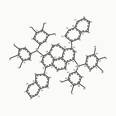 Cc1cc(N(c2cc(C)c(C)c(C)c2)c2cc(-c3ccc4ccccc4c3)c3ccc4c(N(c5cc(C)c(C)c(C)c5)c5cc(C)c(C)c(C)c5)cc(-c5ccc6ccccc6c5)c5ccc2c3c54)cc(C)c1C